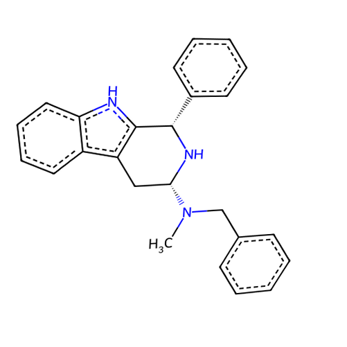 CN(Cc1ccccc1)[C@@H]1Cc2c([nH]c3ccccc23)[C@H](c2ccccc2)N1